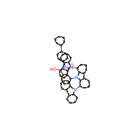 O=C1c2c(cccc2-n2c3c(-n4c5ccccc5c5ccccc54)cccc3c3cccc(-n4c5ccccc5c5ccccc54)c32)C(O)N1c1ccc(-c2ccccc2)cc1